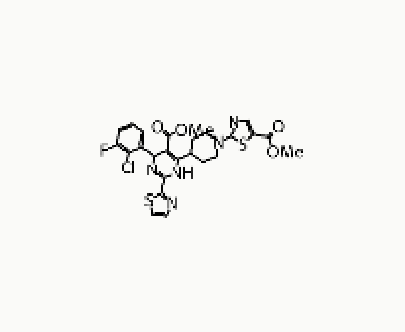 COC(=O)C1=C(C2CCN(c3ncc(C(=O)OC)s3)CC2)NC(c2nccs2)=NC1c1cccc(F)c1Cl